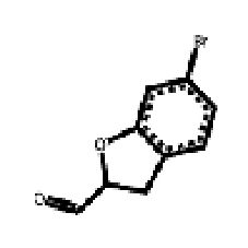 O=CC1Cc2ccc(Br)cc2O1